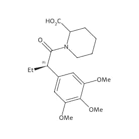 CC[C@@H](C(=O)N1CCCCC1C(=O)O)c1cc(OC)c(OC)c(OC)c1